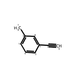 C#Cc1[c]ccc(C)c1